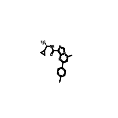 Cc1cc(-c2ccc(F)cc2)nc2c(C(=O)N[C@H](C3CC3)C(F)(F)F)ncn12